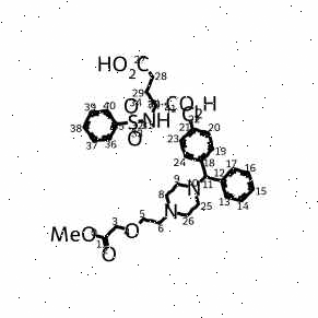 COC(=O)COCCN1CCN(C(c2ccccc2)c2ccc(Cl)cc2)CC1.O=C(O)CC[C@@H](NS(=O)(=O)c1ccccc1)C(=O)O